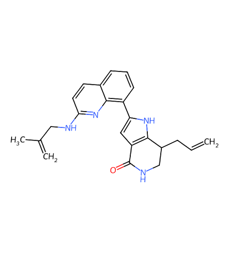 C=CCC1CNC(=O)c2cc(-c3cccc4ccc(NCC(=C)C)nc34)[nH]c21